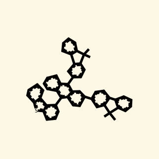 CC1(C)c2ccccc2-c2cc(-c3c4ccccc4c(-c4cccc5sc6ccccc6c45)c4ccc(-c5ccc6c(c5)C(C)(C)c5ccccc5-6)cc34)ccc21